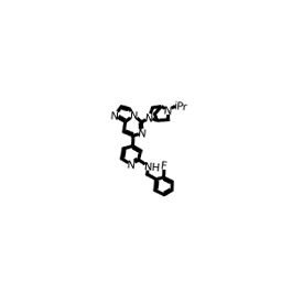 CC(C)N1CC2CC1CN2c1nc(-c2ccnc(NCc3ccccc3F)c2)cc2nccn12